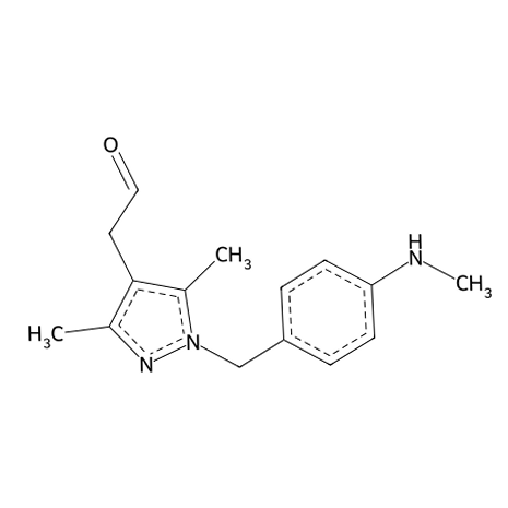 CNc1ccc(Cn2nc(C)c(CC=O)c2C)cc1